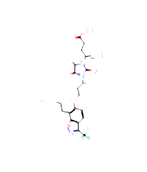 CCCc1c(OCCCN2C(=O)C(C)N(C(C)CCC(=O)O)C2=O)ccc2c(C(F)(F)F)noc12